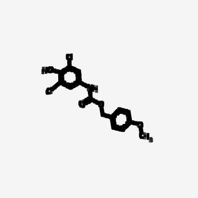 COc1ccc(COC(=O)Nc2cc(Cl)c(O)c(Cl)c2)cc1